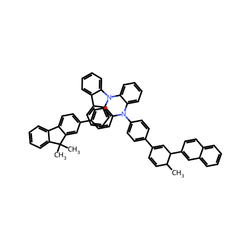 CC1C=CC(c2ccc(N(c3ccc(-c4ccc5c(c4)C(C)(C)c4ccccc4-5)cc3)c3ccccc3-n3c4ccccc4c4ccccc43)cc2)=CC1c1ccc2ccccc2c1